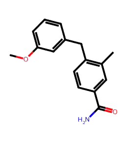 COc1cccc(Cc2ccc(C(N)=O)cc2C)c1